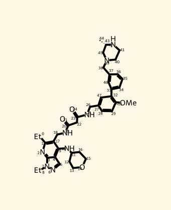 CCc1nc2c(cnn2CC)c(NC2CCOCC2)c1CNC(=O)CC(=O)NCc1ccc(OC)c(-c2cccc(CN3CCN[C@@H](C)C3)c2)c1